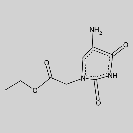 CCOC(=O)Cn1cc(N)c(=O)[nH]c1=O